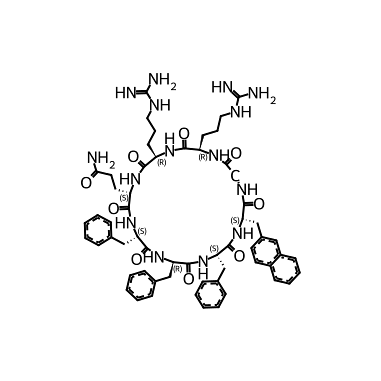 N=C(N)NCCC[C@H]1NC(=O)CNC(=O)[C@H](Cc2ccc3ccccc3c2)NC(=O)[C@H](Cc2ccccc2)NC(=O)[C@@H](Cc2ccccc2)NC(=O)[C@H](Cc2ccccc2)NC(=O)[C@H](CCC(N)=O)NC(=O)[C@@H](CCCNC(=N)N)NC1=O